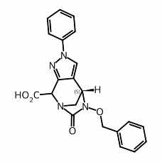 O=C(O)C1c2nn(-c3ccccc3)cc2[C@H]2CN1C(=O)N2OCc1ccccc1